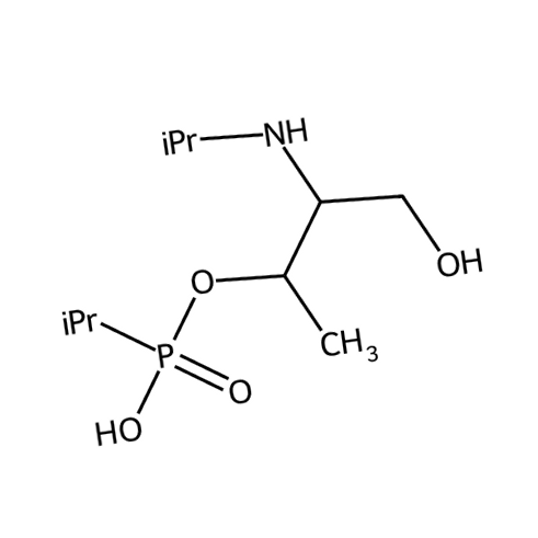 CC(C)NC(CO)C(C)OP(=O)(O)C(C)C